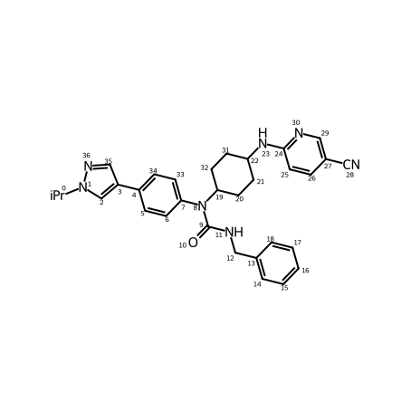 CC(C)n1cc(-c2ccc(N(C(=O)NCc3ccccc3)C3CCC(Nc4ccc(C#N)cn4)CC3)cc2)cn1